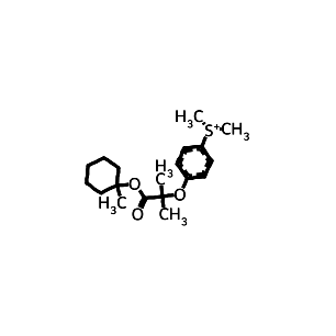 C[S+](C)c1ccc(OC(C)(C)C(=O)OC2(C)CCCCC2)cc1